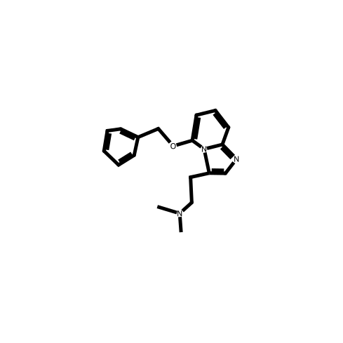 CN(C)CCc1cnc2cccc(OCc3ccccc3)n12